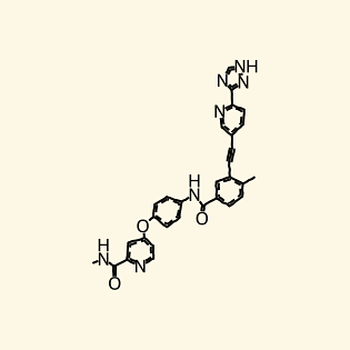 CNC(=O)c1cc(Oc2ccc(NC(=O)c3ccc(C)c(C#Cc4ccc(-c5nc[nH]n5)nc4)c3)cc2)ccn1